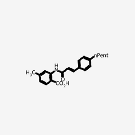 CCCCCc1ccc(/C=C/C(=O)Nc2cc(C)ccc2C(=O)O)cc1